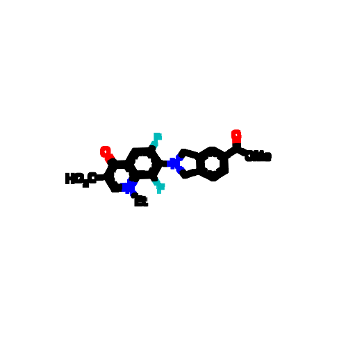 CCn1cc(C(=O)O)c(=O)c2cc(F)c(N3Cc4ccc(C(=O)OC)cc4C3)c(F)c21